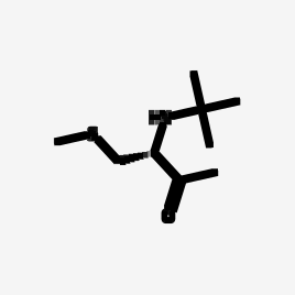 CSC[C@H](NC(C)(C)C)C(C)=O